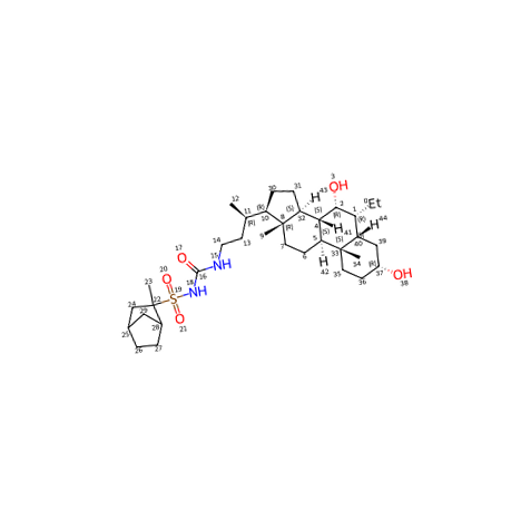 CC[C@H]1[C@@H](O)[C@@H]2[C@H](CC[C@]3(C)[C@@H]([C@H](C)CCNC(=O)NS(=O)(=O)C4(C)CC5CCC4C5)CC[C@@H]23)[C@@]2(C)CC[C@@H](O)C[C@@H]12